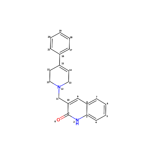 O=c1[nH]c2ccccc2cc1CN1CC=C(c2ccccc2)CC1